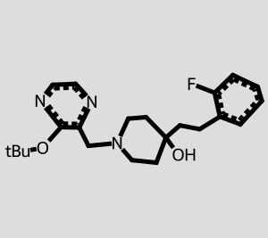 CC(C)(C)Oc1nccnc1CN1CCC(O)(CCc2ccccc2F)CC1